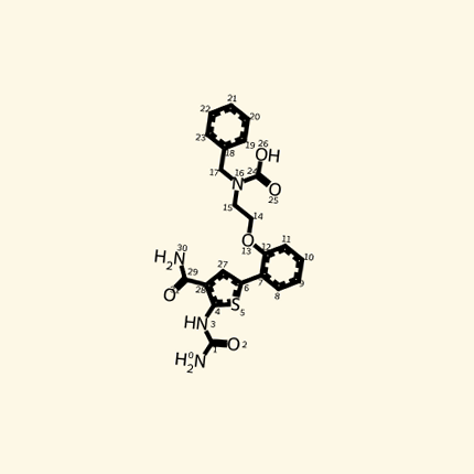 NC(=O)Nc1sc(-c2ccccc2OCCN(Cc2ccccc2)C(=O)O)cc1C(N)=O